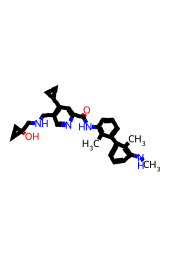 CNc1cccc(-c2cccc(NC(=O)c3cc(C4CC4)c(CNCC4(O)CC4)cn3)c2C)c1C